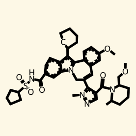 COCC1CCCC(C)N1C(=O)c1cnn(C)c1C1=Cc2cc(OC)ccc2-c2c(C3CCCCC3)c3ccc(C(=O)NS(=O)(=O)C4CCCC4)cc3n2C1